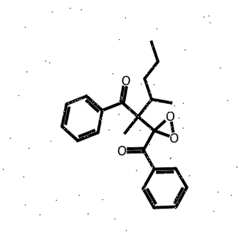 CCCC(C)C(C)(C(=O)c1ccccc1)C1(C(=O)c2ccccc2)OO1